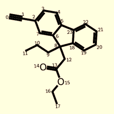 C#Cc1ccc2c(c1)C(CCC)(CC(=O)OCC)c1ccccc1-2